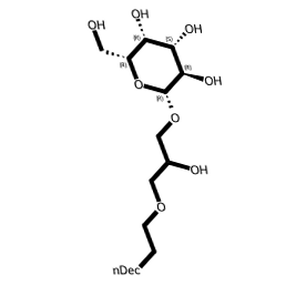 CCCCCCCCCCCCOCC(O)CO[C@@H]1O[C@H](CO)[C@H](O)[C@H](O)[C@H]1O